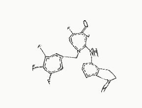 O=c1nc(Nc2cccc3c2CCN3)n(Cc2cc(F)c(F)c(F)c2)cc1F